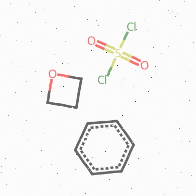 C1COC1.O=S(=O)(Cl)Cl.c1ccccc1